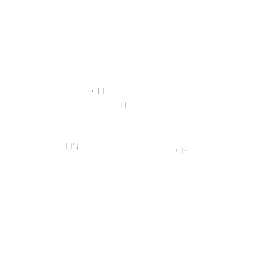 C#Cc1ccc2c(c1)C(C)(C)CCN2